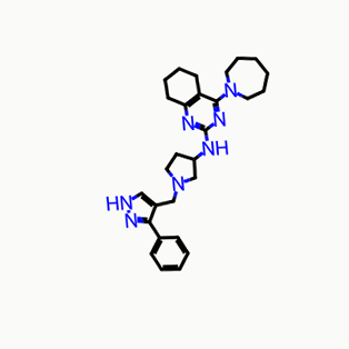 c1ccc(-c2n[nH]cc2CN2CCC(Nc3nc4c(c(N5CCCCCC5)n3)CCCC4)C2)cc1